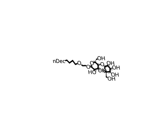 CCCCCCCCCCCCCCOCCO[C@@H]1O[C@H](CO)[C@@H](O[C@@H]2O[C@H](CO)[C@H](O)[C@H](O)[C@H]2O)[C@H](O)[C@H]1O